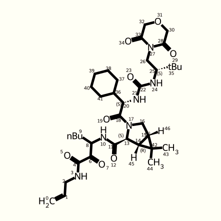 C=CCNC(=O)C(=O)C(CCCC)NC(=O)[C@@H]1[C@@H]2[C@H](CN1C(=O)[C@@H](NC(=O)N[C@H](CN1C(=O)COCC1=O)C(C)(C)C)C1CCCCC1)C2(C)C